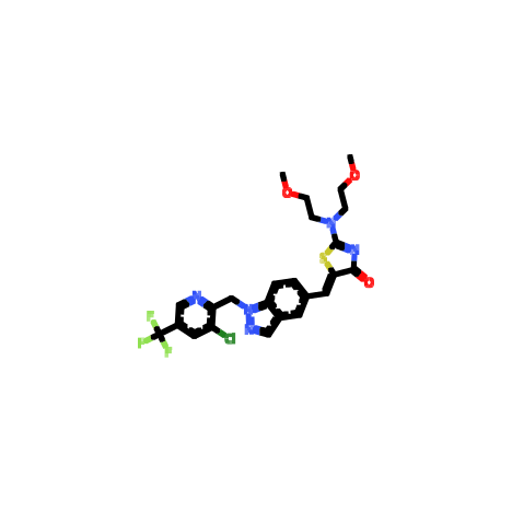 COCCN(CCOC)C1=NC(=O)/C(=C/c2ccc3c(cnn3Cc3ncc(C(F)(F)F)cc3Cl)c2)S1